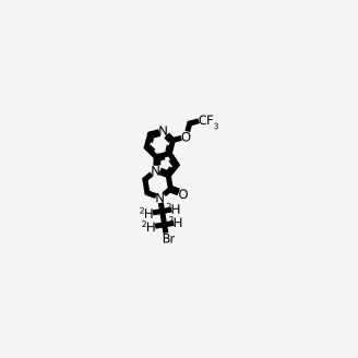 [2H]C([2H])(Br)C([2H])([2H])N1CCn2c(cc3c(OCC(F)(F)F)nccc32)C1=O